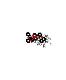 Bc1c(O)c(O)c(B)c2c(O)c(O)cc(N(c3ccccc3-c3ccc4c(c3)c3cccc5c3n4-c3ccccc3O5)c3cc(O)c(-c4ccc5ccccc5c4)c(O)c3O)c12